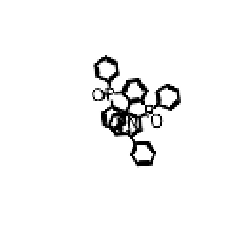 O=P(c1ccccc1)(c1ccccc1)c1cccc(P(=O)(c2ccccc2)c2ccccc2)c1-c1cccc(-c2ccccc2)n1